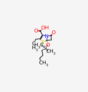 CCCC[Si](C)(C)O[C@@]12CC(=O)N1C(C(=O)O)=C(CC)S2